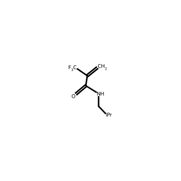 C=C(C(=O)NCC(C)C)C(F)(F)F